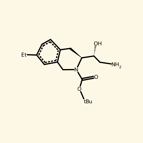 CCc1ccc2c(c1)CN(C(=O)OC(C)(C)C)[C@H]([C@H](O)CN)C2